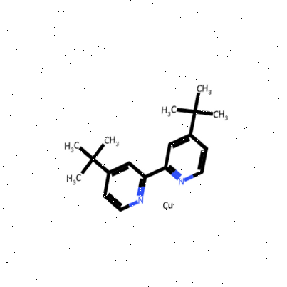 CC(C)(C)c1ccnc(-c2cc(C(C)(C)C)ccn2)c1.[Cu]